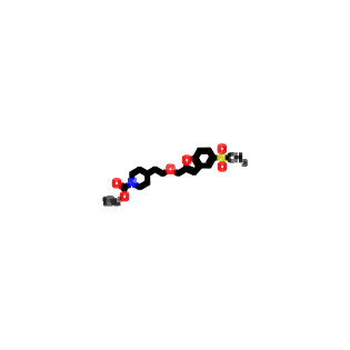 CC(C)(C)OC(=O)N1CCC(CCOCc2cc3cc(S(C)(=O)=O)ccc3o2)CC1